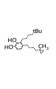 CC(C)(C)CCCCc1c(CCCCC2(C)CC2)ccc(O)c1O